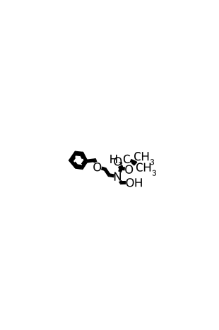 CC(C)(C)OC(=O)N(CO)CCOCc1ccccc1